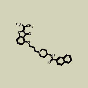 CC(C)=C1Oc2cccc(OCCCN3CCC(NC(=O)c4ccc5ccccc5c4)CC3)c2C1=O